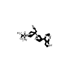 CC(C)S(=N)(=O)N1CC(CC#N)(n2cc(-c3ncnc4[nH]ccc34)cn2)C1